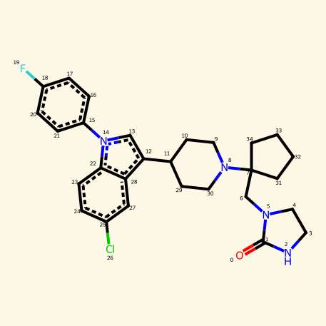 O=C1NCCN1CC1(N2CCC(c3cn(-c4ccc(F)cc4)c4ccc(Cl)cc34)CC2)CCCC1